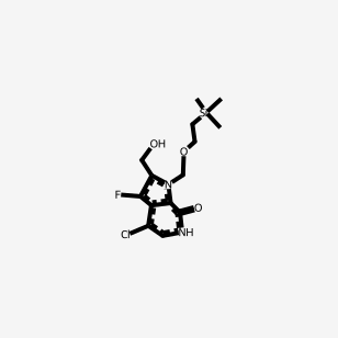 C[Si](C)(C)CCOCn1c(CO)c(F)c2c(Cl)c[nH]c(=O)c21